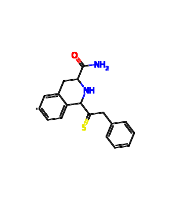 NC(=O)C1Cc2c[c]ccc2C(C(=S)Cc2ccccc2)N1